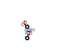 COC(=O)c1ccc2[nH]c(=O)c(N(C)[C@@H](C)c3ccccc3)nc2c1